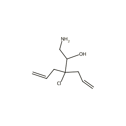 C=CCC(Cl)(CC=C)C(O)CN